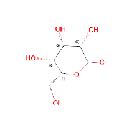 [O]C1O[C@H](CO)[C@H](O)[C@H](O)[C@@H]1O